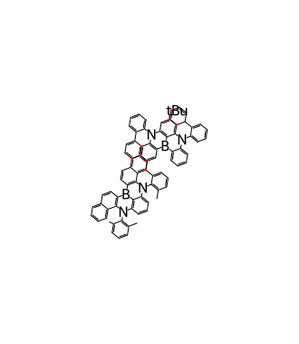 Cc1cccc(C)c1N1c2cccc3c2B(c2ccc4ccccc4c21)c1ccc2ccccc2c1N3c1c(C)cccc1Cc1ccc2c(c1)B1c3ccccc3N(c3ccccc3C3C=CC=CC3)c3cc(C(C)(C)C)cc(c31)N2c1ccccc1-c1ccccc1